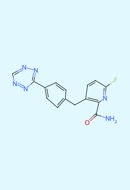 NC(=O)c1nc(F)ccc1Cc1ccc(-c2nncnn2)cc1